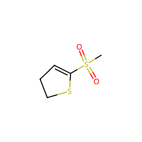 CS(=O)(=O)C1=CCCS1